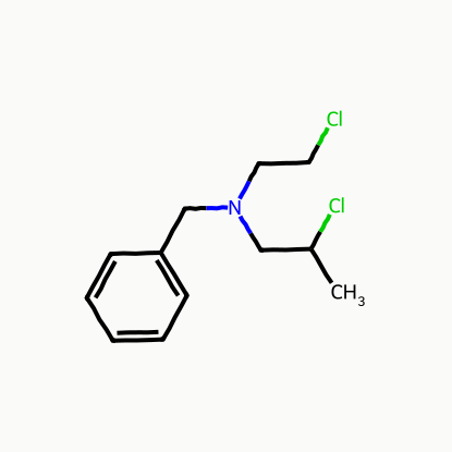 CC(Cl)CN(CCCl)Cc1ccccc1